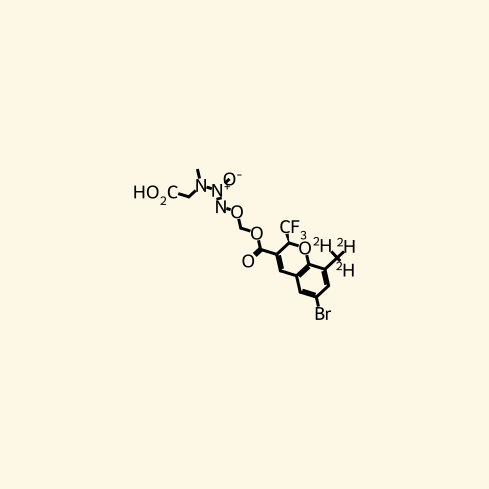 [2H]C([2H])([2H])c1cc(Br)cc2c1O[C@H](C(F)(F)F)C(C(=O)OCO/N=[N+](\[O-])N(C)CC(=O)O)=C2